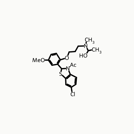 COc1ccc(OCCCN(C)C(C)O)c(C2Sc3cc(Cl)ccc3N2C(C)=O)c1